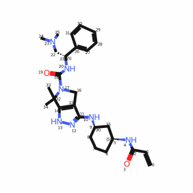 C=CC(=O)N[C@H]1CCC[C@@H](Nc2n[nH]c3c2CN(C(=O)N[C@H](CN(C)C)c2ccccc2)C3(C)C)C1